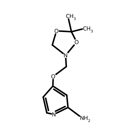 CC1(C)OCN(COc2ccnc(N)c2)O1